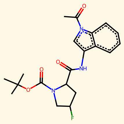 CC(=O)n1cc(NC(=O)C2CC(F)CN2C(=O)OC(C)(C)C)c2ccccc21